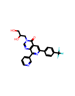 O=c1c2cc(-c3ccc(C(F)(F)F)cc3)nc(-c3cccnc3)c2ncn1CC(O)CO